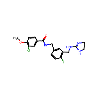 COc1ccc(C(=O)NCc2ccc(F)c(CNC3=NCCN3)c2)cc1Cl